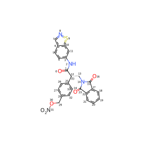 O=C(Nc1ccc2cnsc2c1)[C@H](CN1C(=O)c2ccccc2C1=O)c1ccc(CO[N+](=O)[O-])cc1